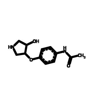 CC(=O)Nc1ccc(OC2CNCC2O)cc1